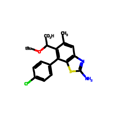 Cc1cc2nc(N)sc2c(-c2ccc(Cl)cc2)c1C(OC(C)(C)C)C(=O)O